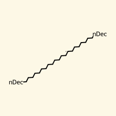 CCCCCCCCCCCCCCCCC[CH]CCCCCCCCCCCCCCCCCCCCCCC